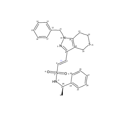 C[C@@H](NS(=O)(=O)/C=C/c1nn(Cc2ccccc2)c2c1CSCC2)c1ccccc1